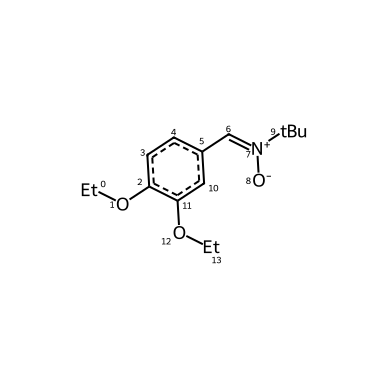 CCOc1ccc(C=[N+]([O-])C(C)(C)C)cc1OCC